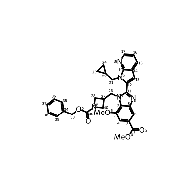 COC(=O)c1cc(OC)c2c(c1)nc(-c1cc3cccnc3n1CC1CC1)n2CC1CN(C(=O)OCc2ccccc2)C1